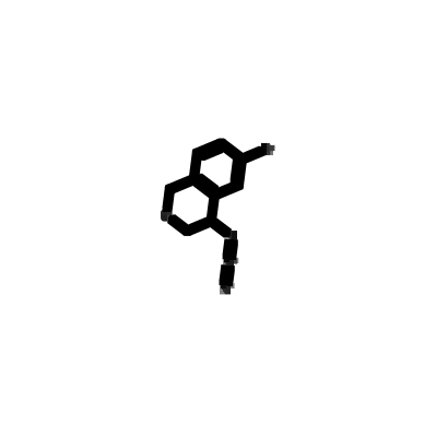 [N-]=[N+]=NC1COCc2ccc(Br)cc21